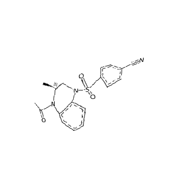 CC(=O)N1c2ccccc2N(S(=O)(=O)c2ccc(C#N)cc2)C[C@@H]1C